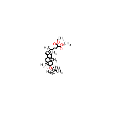 CCOC(=O)C(CCC[C@@H](C)[C@H]1CC=C2C3=C(CC[C@@]21C)[C@@]1(C)CC[C@H](O[Si](C)(C)C(C)(C)C)C(C)(C)[C@@H]1CC3)C(=O)OCC